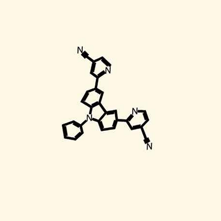 N#Cc1ccnc(-c2ccc3c(c2)c2cc(-c4cc(C#N)ccn4)ccc2n3-c2ccccc2)c1